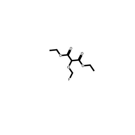 CCOC(=O)C(OCF)C(=O)OCC